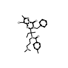 CCC(C)(c1nc2c(Cl)c(C)nn2c(=O)n1Cc1ccccc1)N(CCCN(C)C)C(=O)c1ccc(C)cc1